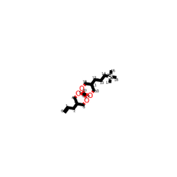 C=CCC1COC2(OC1)OCC(CCC[Si](C)(C)C)CO2